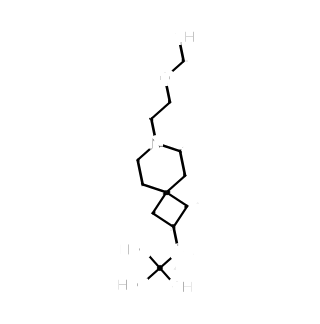 CCOCCN1CCC2(CC1)CC(OC(C)(C)C)C2